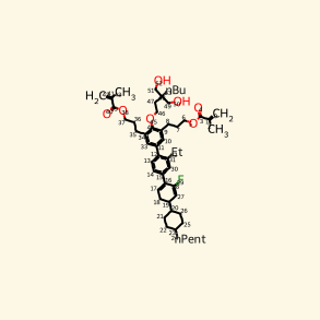 C=C(C)C(=O)OCCCc1cc(-c2ccc(C3=CCC(C4CCC(CCCCC)CC4)C=C3F)cc2CC)cc(CCCOC(=O)C(=C)C)c1OCCC(CO)(CO)CCCC